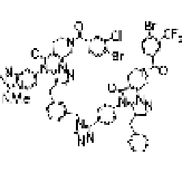 CNc1nnc2cc(-n3c(=O)c4c(n5ncc(Cc6cccc(Cn7cnnc7-c7ccc(-n8c(=O)c9c(n%10ncc(Cc%11ccccc%11)c8%10)CN(C(=O)c8ccc(Br)c(C(F)(F)F)c8)CC9)cc7)c6)c35)CN(C(=O)c3ccc(Br)c(Cl)c3)CC4)ccn12